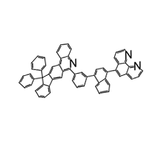 c1ccc(C2(c3ccccc3)c3ccccc3-c3cc4c(-c5cccc(-c6ccc(-c7cc8cccnc8c8ncccc78)c7ccccc67)c5)nc5ccccc5c4cc32)cc1